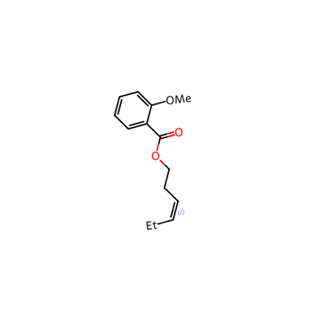 CC/C=C\CCOC(=O)c1ccccc1OC